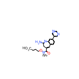 CCCN(OCCCC(=O)O)C(=O)C1=Cc2ccc(-c3cncnc3)cc2N=C(N)C1